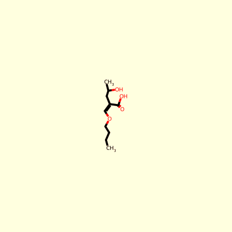 CCCCOC=C(CC(C)O)C(=O)O